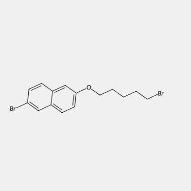 BrCCCCCOc1ccc2cc(Br)ccc2c1